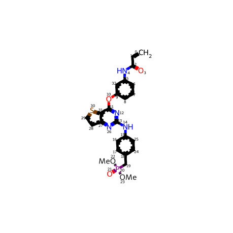 C=CC(=O)Nc1cccc(Oc2nc(Nc3ccc(CP(=O)(OC)OC)cc3)nc3ccsc23)c1